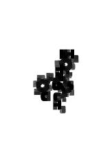 CCc1csc(C(Cc2ccc(N)cc2)NC(=O)Cc2cccc(Cl)c2)n1